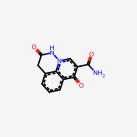 NC(=O)c1cn2c3c(cccc3c1=O)CC(=O)N2